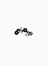 CC(Sc1nncn1C)c1cccc(C(=O)Nc2ccc3ccccc3n2)c1